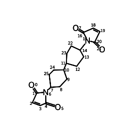 O=C1C=CC(=O)N1C1CCC(C2CCC(N3C(=O)C=CC3=O)CC2)CC1